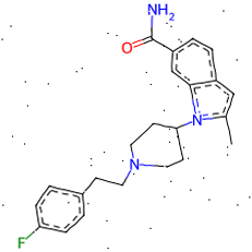 Cc1cc2ccc(C(N)=O)cc2n1C1CCN(CCc2ccc(F)cc2)CC1